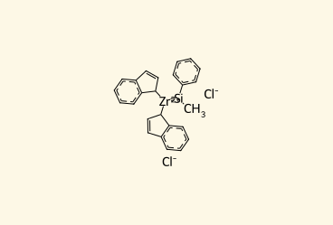 C[Si](c1ccccc1)=[Zr+2]([CH]1C=Cc2ccccc21)[CH]1C=Cc2ccccc21.[Cl-].[Cl-]